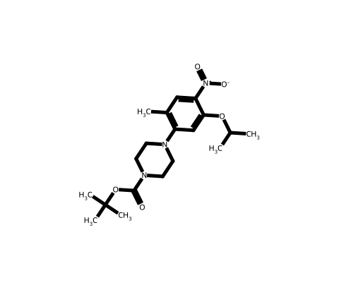 Cc1cc([N+](=O)[O-])c(OC(C)C)cc1N1CCN(C(=O)OC(C)(C)C)CC1